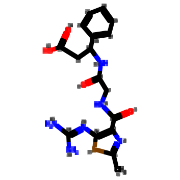 Cc1nc(C(=O)NCC(=O)NC(CC(=O)O)c2ccccc2)c(N=C(N)N)s1